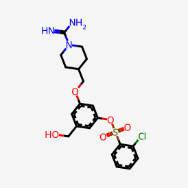 N=C(N)N1CCC(COc2cc(CO)cc(OS(=O)(=O)c3ccccc3Cl)c2)CC1